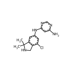 CC1(C)NCc2c(Cl)cc(Nc3cc(N)ncn3)cc21